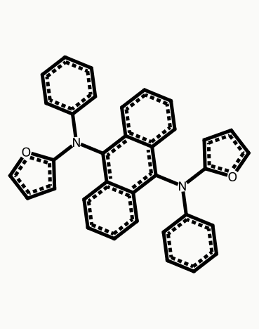 c1ccc(N(c2ccco2)c2c3ccccc3c(N(c3ccccc3)c3ccco3)c3ccccc23)cc1